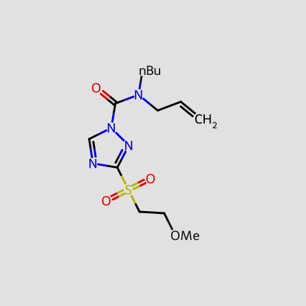 C=CCN(CCCC)C(=O)n1cnc(S(=O)(=O)CCOC)n1